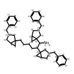 NC(C(CCCCC12CC1CN(Cc1ccccc1)C2)C12CC1CN(Cc1ccccc1)C2)C12CC1CN(Cc1ccccc1)C2